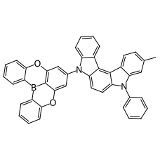 Cc1ccc2c3c4c5ccccc5n(-c5cc6c7c(c5)Oc5ccccc5B7c5ccccc5O6)c4ccc3n(-c3ccccc3)c2c1